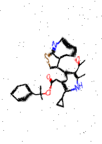 CC(=O)C1=C(C)NC(C2CC2)=C(C(=O)OC(C)(C)c2ccccc2)C1c1csc2ncccc12